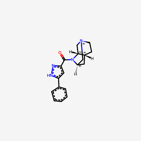 O=C(c1cc(-c2ccccc2)[nH]n1)N1[C@@H]2C[C@H]3CC[N@@](C2)C[C@H]31